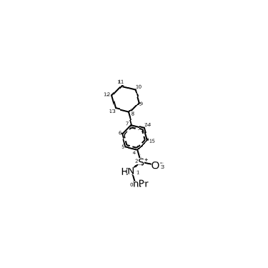 CCCN[S+]([O-])c1ccc(C2CCCCC2)cc1